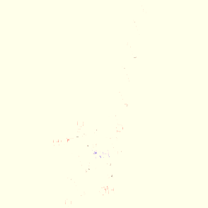 CCCCCCCCCCCOC(CC)CC(CCCC=O)(NCCO)C(=O)O